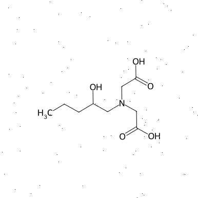 CCCC(O)CN(CC(=O)O)CC(=O)O